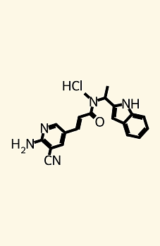 CC(c1cc2ccccc2[nH]1)N(C)C(=O)C=Cc1cnc(N)c(C#N)c1.Cl